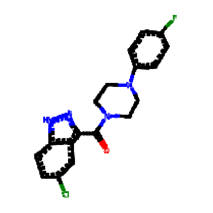 O=C(c1n[nH]c2ccc(Cl)cc12)N1CCN(c2ccc(F)cc2)CC1